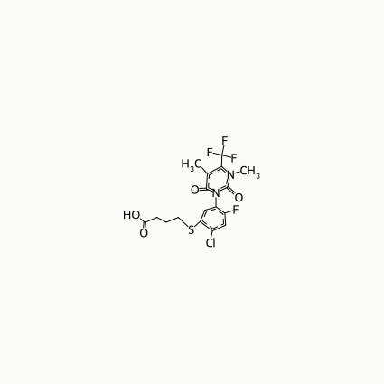 Cc1c(C(F)(F)F)n(C)c(=O)n(-c2cc(SCCCC(=O)O)c(Cl)cc2F)c1=O